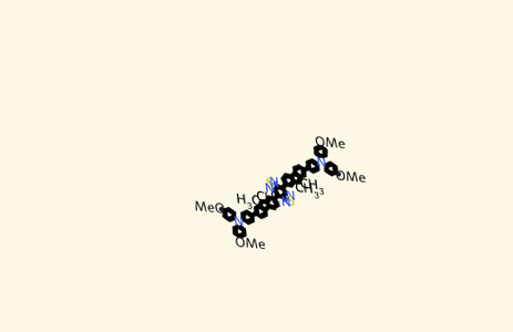 COc1ccc(N(c2ccc(OC)cc2)c2ccc(-c3ccc4c(c3)C(C)(C)c3cc(-c5c6c(c(-c7ccc8c(c7)C(C)(C)c7cc(-c9ccc(N(c%10ccc(OC)cc%10)c%10ccc(OC)cc%10)cc9)ccc7-8)c7nsnc57)N=S=N6)ccc3-4)cc2)cc1